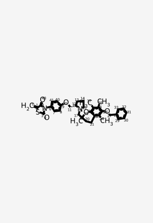 C=C1SC(=O)N(c2ccc(OC[C@@H]3CCCN3CC3(C)CCc4c(C)c(OCc5ccccc5)c(C)c(C)c4O3)cc2)C1=O